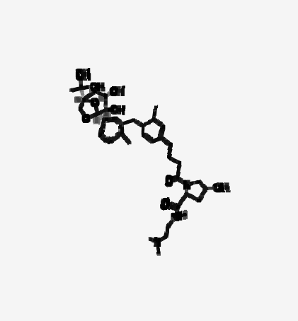 Cc1ccc([C@]23OC[C@](C(C)(C)O)(O2)[C@@H](O)[C@H](O)[C@H]3O)cc1CC1C=CC(CCCC(=O)N2CC(O)CC2C(=O)NCCN(C)C)=CC1C